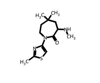 CNC1CC(C)(C)CCN(c2csc(C)n2)C1=O